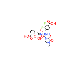 CCN1CCN(C(=O)NC(C(=O)N[C@H]2Cc3cccc(C(=O)O)c3OB2O)c2ccc(C(=O)O)c(F)c2F)C(=O)C1=O